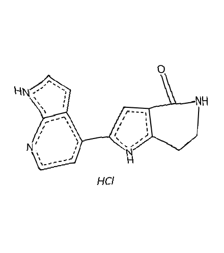 Cl.O=C1NCCc2[nH]c(-c3ccnc4[nH]ccc34)cc21